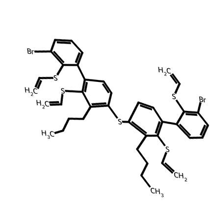 C=CSc1c(Br)cccc1-c1ccc(Sc2ccc(-c3cccc(Br)c3SC=C)c(SC=C)c2CCCC)c(CCCC)c1SC=C